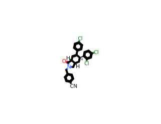 N#Cc1ccc(CN2C[C@@H]3C[C@H](c4ccc(Cl)cc4Cl)C(c4ccc(Cl)cc4)=C[C@@H]3C2=O)cc1